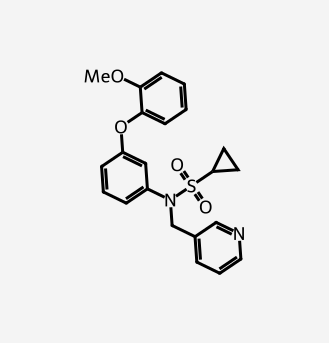 COc1ccccc1Oc1cccc(N(Cc2cccnc2)S(=O)(=O)C2CC2)c1